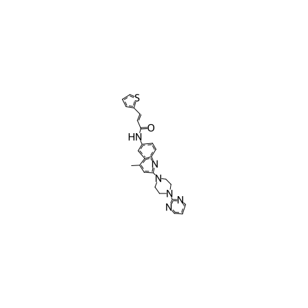 Cc1cc(N2CCN(c3ncccn3)CC2)nc2ccc(NC(=O)C=Cc3cccs3)cc12